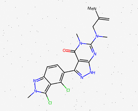 C=C(CN(C)c1nc2[nH]nc(-c3ccc4nn(C)c(Cl)c4c3Cl)c2c(=O)n1C)NC